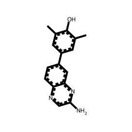 Cc1cc(-c2ccc3ncc(N)nc3c2)cc(C)c1O